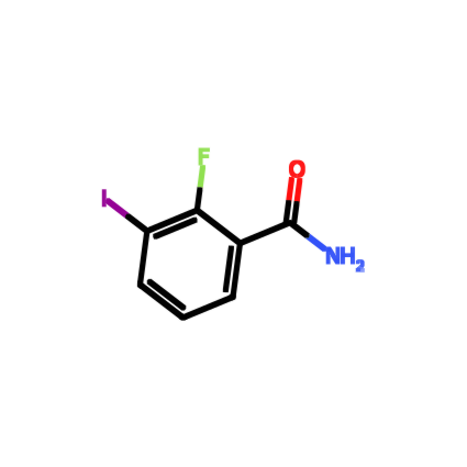 NC(=O)c1cccc(I)c1F